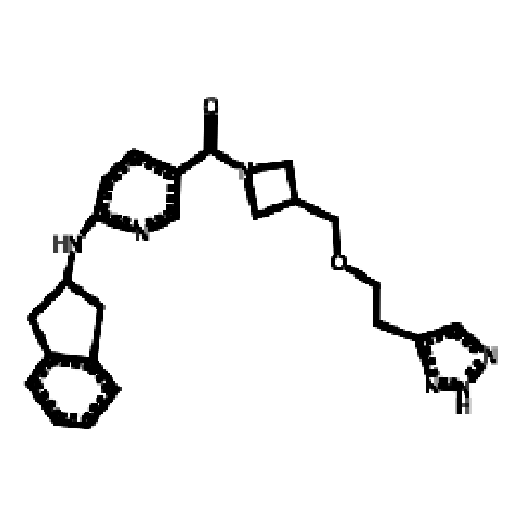 O=C(c1ccc(NC2Cc3ccccc3C2)nc1)N1CC(COCCc2cn[nH]n2)C1